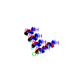 Cc1nc2c(c(-c3ccn[nH]3)n1)CC(C)N(C(=O)c1ccc(Cl)c(F)c1Cl)C2.Cc1nc2c(c(-c3ccn[nH]3)n1)CC(C)N(C(=O)c1ccc(F)cc1C)C2.Cc1nc2c(c(-c3ccn[nH]3)n1)CC(C)N(C(=O)c1cccc(C)c1F)C2.Cc1nc2c(c(-c3ccn[nH]3)n1)CC(C)N(C(=O)c1cccc(F)c1C)C2.Cc1nc2c(c(-c3ccn[nH]3)n1)C[C@@H](C)N(C(=O)c1cccc(C)c1C)C2